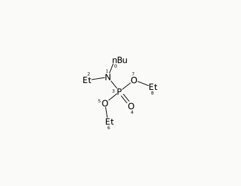 CCCCN(CC)P(=O)(OCC)OCC